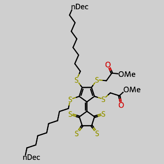 CCCCCCCCCCCCCCCCCCSC1=C(SCCCCCCCCCCCCCCCCCC)C(=C2C(=S)C(=S)C(=S)C2=S)C(SCC(=O)OC)=C1SCC(=O)OC